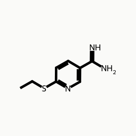 CCSc1ccc(C(=N)N)cn1